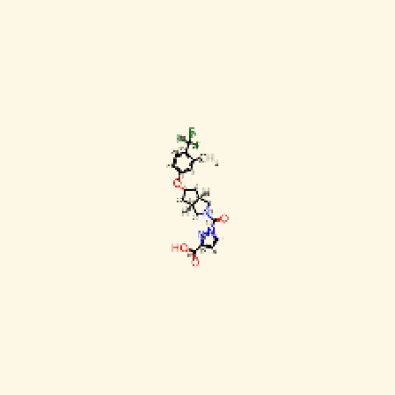 Cc1cc(O[C@H]2C[C@@H]3CN(C(=O)n4ccc(C(=O)O)n4)C[C@@H]3C2)ccc1C(F)(F)F